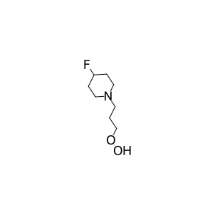 OOCCCN1CCC(F)CC1